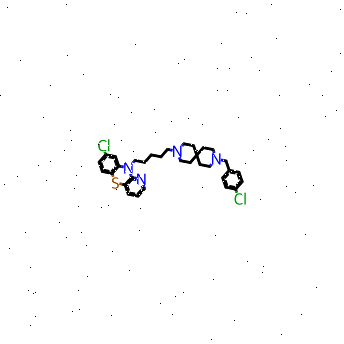 Clc1ccc(CN2CCC3(CCN(CCCCCN4c5cc(Cl)ccc5Sc5cccnc54)CC3)CC2)cc1